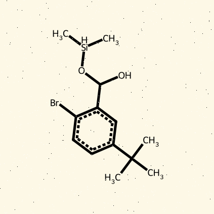 C[SiH](C)OC(O)c1cc(C(C)(C)C)ccc1Br